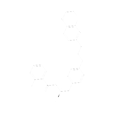 O=C(N[C@@H](Cc1ccc(CCCc2ccc3c(n2)OCCN3)cc1)C(=O)O)c1ccccc1Cl